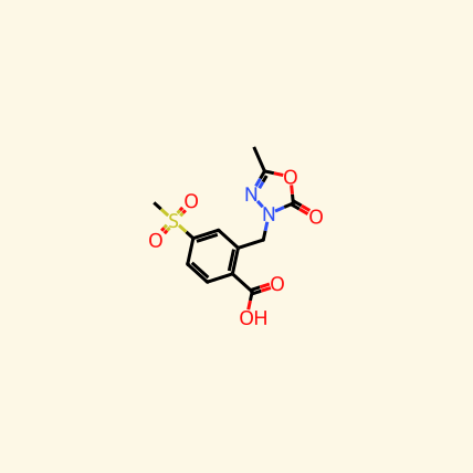 Cc1nn(Cc2cc(S(C)(=O)=O)ccc2C(=O)O)c(=O)o1